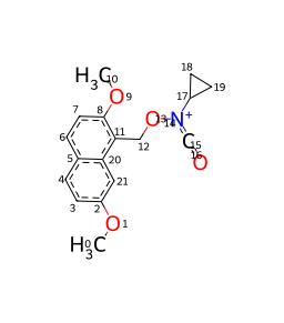 COc1ccc2ccc(OC)c(CO[N+](=C=O)C3CC3)c2c1